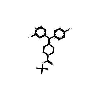 CC(C)(C)OC(=O)N1CCC(=C(c2ccc(F)cc2)c2ccnc(F)c2)CC1